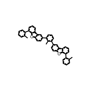 Cc1ccccc1-c1cccc2c1oc1ccc(-c3cccc(-c4ccc5oc6c(-c7ccccc7C)cccc6c5c4)c3C)cc12